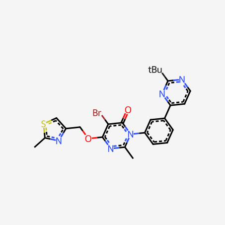 Cc1nc(COc2nc(C)n(-c3cccc(-c4ccnc(C(C)(C)C)n4)c3)c(=O)c2Br)cs1